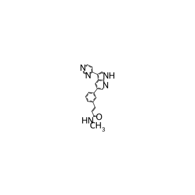 CNC(=O)C=Cc1cccc(-c2cnc3[nH]cc(-c4ccncn4)c3c2)c1